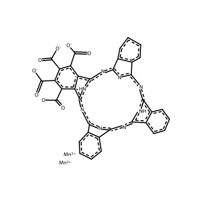 O=C([O-])c1c(C(=O)[O-])c(C(=O)[O-])c2c3nc4nc(nc5[nH]c(nc6nc(nc([nH]3)c2c1C(=O)[O-])-c1ccccc1-6)c1ccccc51)-c1ccccc1-4.[Mn+2].[Mn+2]